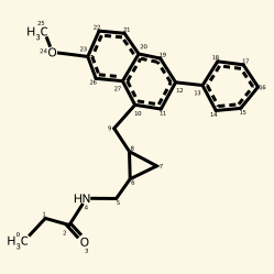 CCC(=O)NCC1CC1Cc1cc(-c2ccccc2)cc2ccc(OC)cc12